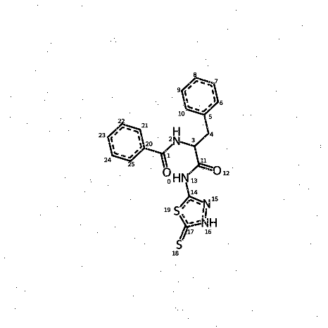 O=C(NC(Cc1ccccc1)C(=O)Nc1n[nH]c(=S)s1)c1ccccc1